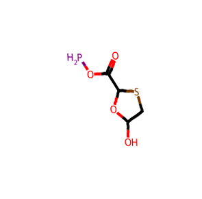 O=C(OP)C1OC(O)CS1